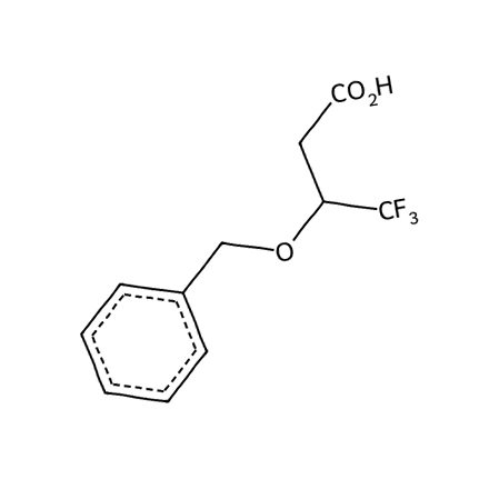 O=C(O)CC(OCc1ccccc1)C(F)(F)F